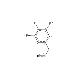 [CH2]CCCCCc1cc(F)c(F)c(F)c1